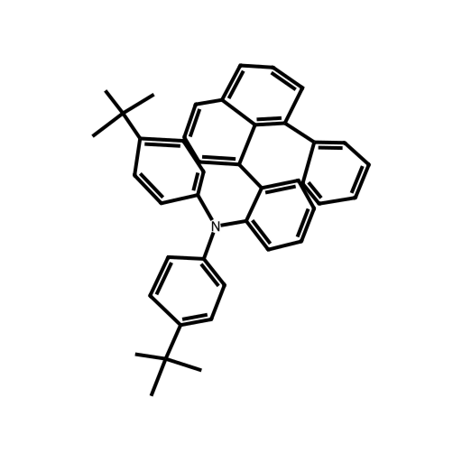 CC(C)(C)c1ccc(N(c2ccc(C(C)(C)C)cc2)c2ccccc2-c2cccc3cccc(-c4ccccc4)c23)cc1